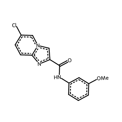 COc1cccc(NC(=O)c2cn3cc(Cl)ccc3n2)c1